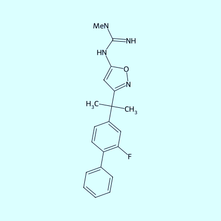 CNC(=N)Nc1cc(C(C)(C)c2ccc(-c3ccccc3)c(F)c2)no1